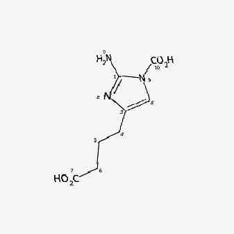 Nc1nc(CCCC(=O)O)cn1C(=O)O